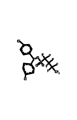 O=S(=O)(O[I+](c1ccc(Cl)cc1)c1ccc(Cl)cc1)C(F)(F)C(F)(F)C(F)(F)C(F)(F)F